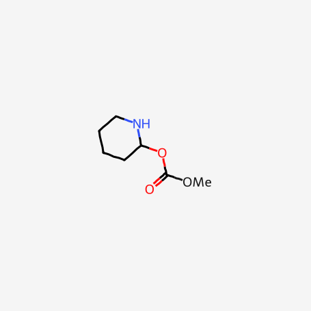 COC(=O)OC1CCCCN1